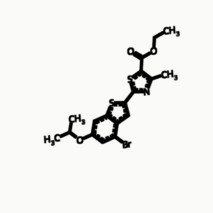 CCOC(=O)c1sc(-c2cc3c(Br)cc(OC(C)C)cc3s2)nc1C